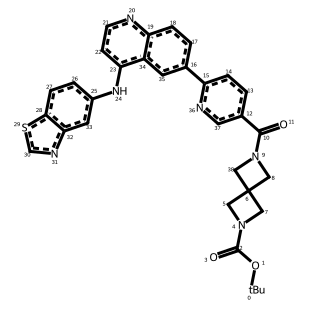 CC(C)(C)OC(=O)N1CC2(C1)CN(C(=O)c1ccc(-c3ccc4nccc(Nc5ccc6scnc6c5)c4c3)nc1)C2